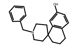 Oc1ccc2c(c1)C1(CCC2)CCN(Cc2ccccc2)CC1